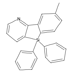 Cc1ccc2c(c1)-c1ncccc1[Si]2(c1ccccc1)c1ccccc1